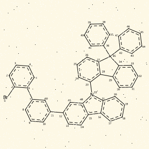 Brc1ccccc1-c1cccc(-c2ccc3c4ccccc4n(-c4cccc5c4-c4ccccc4C5(c4ccccc4)c4ccccc4)c3c2)c1